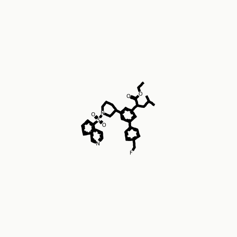 CCOC(=O)C(CC(C)C)c1cc(-c2ccc(CF)cc2)cc(C2CCCN(S(=O)(=O)c3cccc4cnccc34)C2)c1